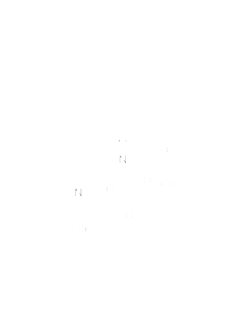 CC(=O)OC(C(CN1CCOCC1)c1ccccc1)n1oc(-c2ccccc2)c(Cl)c1=O.Cl